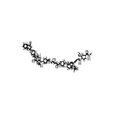 CNC(=O)c1ccc(NCC#Cc2cc3c(NC4CCN(C(=O)CCC(=O)NCc5ccc(-c6c7ncn(CC8(O)CCN(C(=O)CC(C)c9ccccc9)CC8)c(=O)c7nn6C)cc5)CC4)cccc3n2CC(F)(F)F)c(OC)c1